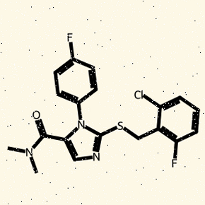 CN(C)C(=O)c1cnc(SCc2c(F)cccc2Cl)n1-c1ccc(F)cc1